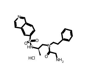 C[C@H](CN(CCc1ccccc1)C(=O)CN)NS(=O)(=O)c1ccc2cnccc2c1.Cl